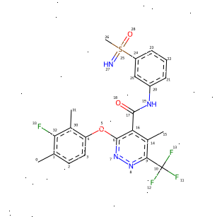 Cc1ccc(Oc2nnc(C(F)(F)F)c(C)c2C(=O)Nc2cccc(S(C)(=N)=O)c2)c(C)c1F